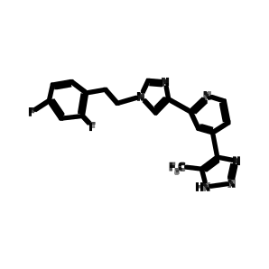 Fc1ccc(CCn2cnc(-c3cc(-c4nn[nH]c4C(F)(F)F)ccn3)c2)c(F)c1